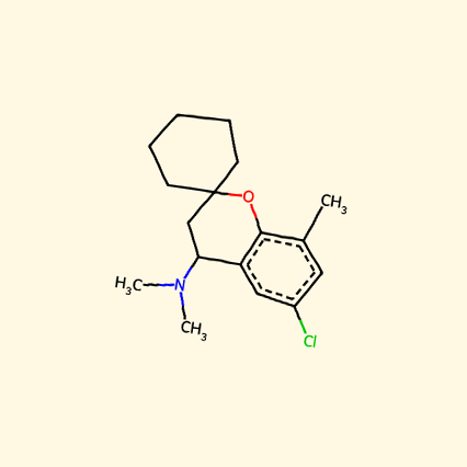 Cc1cc(Cl)cc2c1OC1(CCCCC1)CC2N(C)C